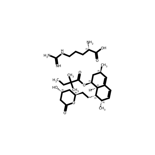 CCC(C)(C)C(=O)O[C@H]1C[C@@H](C)C=C2C=C[C@H](C)[C@H](CC[C@@H]3C[C@@H](O)CC(=O)O3)[C@H]21.N=C(N)NCCC[C@H](N)C(=O)O